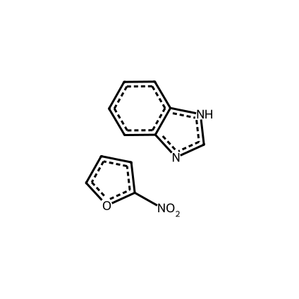 O=[N+]([O-])c1ccco1.c1ccc2[nH]cnc2c1